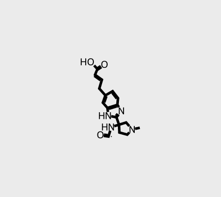 CN1CCC(N[C]=O)(c2nc3ccc(CC=CC(=O)O)cc3[nH]2)C1